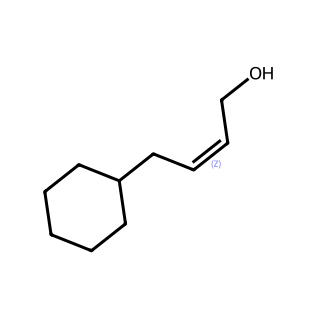 OC/C=C\CC1CCCCC1